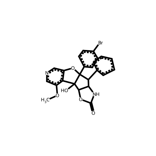 COc1cncc2c1C1(O)C3OC(=O)NC3C(c3ccccc3)C1(c1ccc(Br)cc1)O2